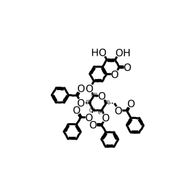 O=C(OC[C@H]1O[C@H](Oc2ccc3c(O)c(O)c(=O)oc3c2)[C@@H](OC(=O)c2ccccc2)[C@@H](OC(=O)c2ccccc2)[C@@H]1OC(=O)c1ccccc1)c1ccccc1